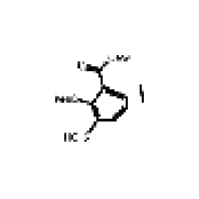 CC.COC(=O)c1cccc(S(=O)(=O)O)c1OC